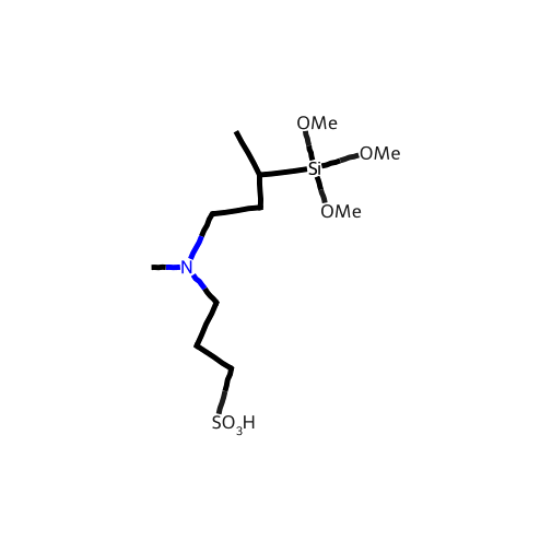 CO[Si](OC)(OC)C(C)CCN(C)CCCS(=O)(=O)O